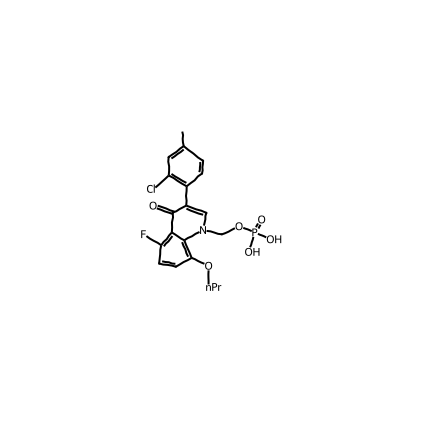 CCCOc1ccc(F)c2c(=O)c(-c3ccc(C)cc3Cl)cn(COP(=O)(O)O)c12